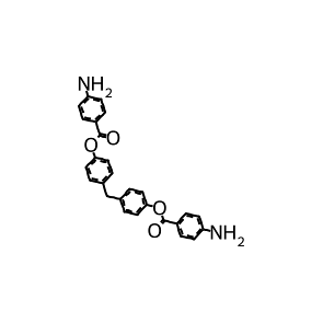 Nc1ccc(C(=O)Oc2ccc(Cc3ccc(OC(=O)c4ccc(N)cc4)cc3)cc2)cc1